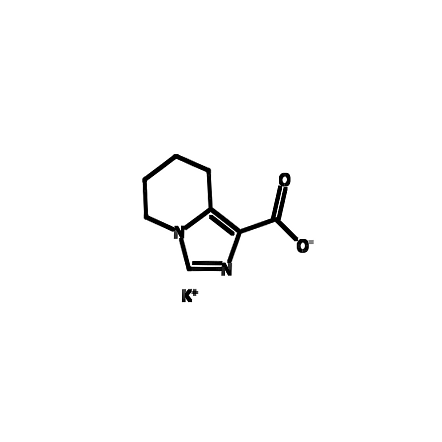 O=C([O-])c1ncn2c1CCCC2.[K+]